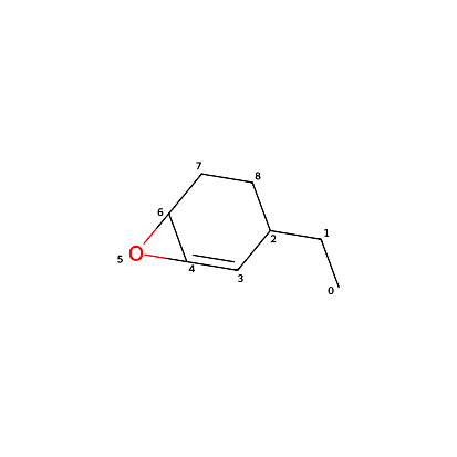 CCC1C=C2OC2CC1